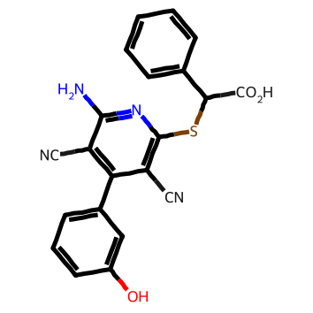 N#Cc1c(N)nc(SC(C(=O)O)c2ccccc2)c(C#N)c1-c1cccc(O)c1